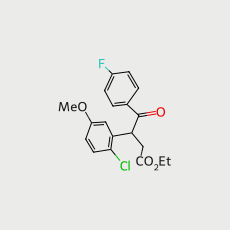 CCOC(=O)CC(C(=O)c1ccc(F)cc1)c1cc(OC)ccc1Cl